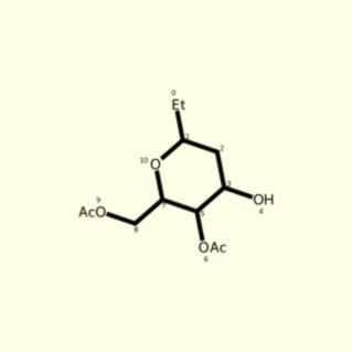 CCC1CC(O)C(OC(C)=O)C(COC(C)=O)O1